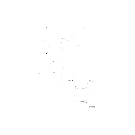 CC(=O)N1CCN(C(=O)Oc2ccc(C[C@H](NC(=O)[C@@H](N)CC(C)C)C(=O)OC(C)(C)C)cc2)C(C=O)C1.Cl